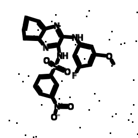 COc1cc(F)cc(Nc2nc3ccccc3nc2NS(=O)(=O)c2cccc([N+](=O)[O-])c2)c1